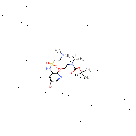 CC(C)N(CCOc1ncc(Br)cc1NS(=O)(=O)CCN(C)C)C(=O)OC(C)(C)C